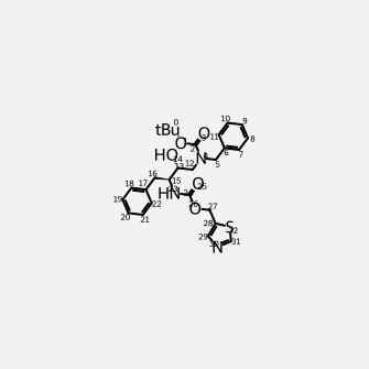 CC(C)(C)OC(=O)N(Cc1ccccc1)C[C@@H](O)[C@H](Cc1ccccc1)NC(=O)OCc1cncs1